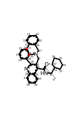 C[C@H](NC(=O)c1c(CN2CCc3ccccc3C2)c(-c2ccccc2)nc2ccccc12)C1CCCCC1